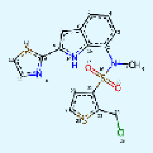 CN(c1cccc2cc(-c3nccs3)[nH]c12)S(=O)(=O)c1ccsc1CCl